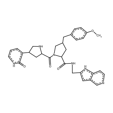 COc1ccc(CC2CC(C(=O)NCc3cc4cnccc4[nH]3)N(C(=O)C3CC(c4ccc[nH]c4=O)CN3)C2)cc1